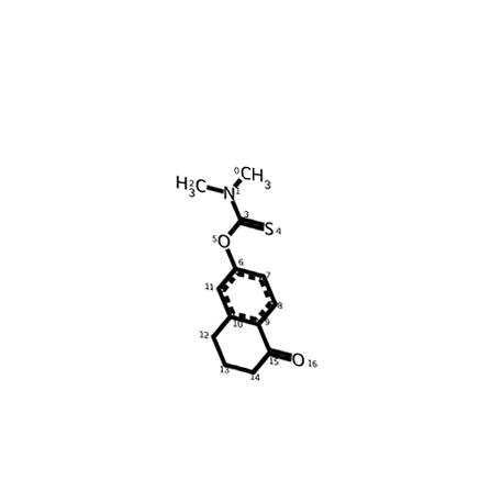 CN(C)C(=S)Oc1ccc2c(c1)CCCC2=O